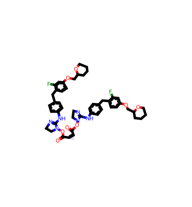 O=C(/C=C\C(=O)ON1CCN=C1Nc1ccc(Cc2ccc(OCC3CCCCO3)cc2F)cc1)ON1CCN=C1Nc1ccc(Cc2ccc(OCC3CCCCO3)cc2F)cc1